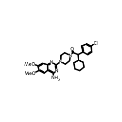 COc1cc2nc(N3CCN(C(=O)C(c4ccc(Cl)cc4)C4CCCCC4)CC3)nc(N)c2cc1OC